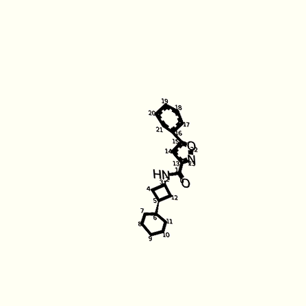 O=C(N[C@H]1C[C@H](C2CCCCC2)C1)c1cc(-c2ccccc2)on1